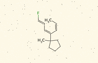 C\C=C/C(=C\C=C\F)C1(C)CCCC1